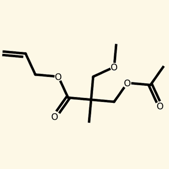 C=CCOC(=O)C(C)(COC)COC(C)=O